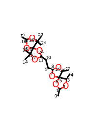 CC1OC(C)C2(O1)OC(CCC1OC(C)(C)C3(OC(C)OC3(C)C)O1)OC2C